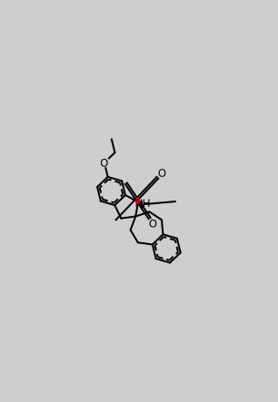 CCOc1ccc2c(c1)C1(NC(=O)N(C)C1=O)C1(CCc3ccccc3CC1)C2